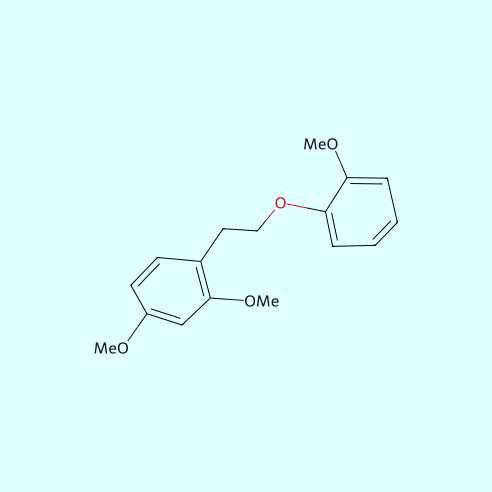 COc1ccc(CCOc2ccccc2OC)c(OC)c1